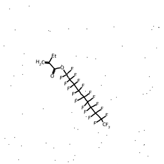 C=C(CC)C(=O)OC(F)(F)C(F)(F)C(F)(F)C(F)(F)C(F)(F)C(F)(F)C(F)(F)C(F)(F)C(F)(F)C(F)(F)F